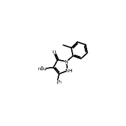 CCCCc1c(C(C)C)[nH]n(-c2ccccc2C)c1=O